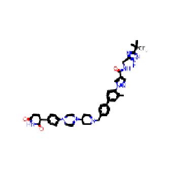 Cc1cc(-c2ccc(CN3CCC(N4CCN(c5ccc(C6CCC(=O)NC6=O)cc5)CC4)CC3)cc2)ccc1-n1cc(C(=O)NCc2nc(C(C)(C)C(F)(F)F)n[nH]2)cn1